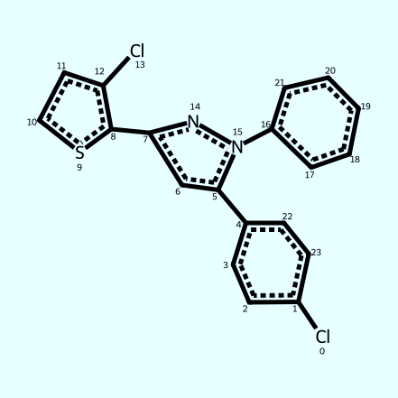 Clc1ccc(-c2cc(-c3sccc3Cl)nn2-c2ccccc2)cc1